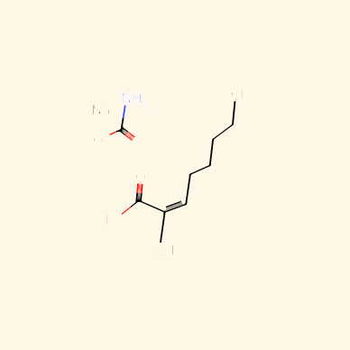 CCCCCC=C(C)C(=O)O.NC(=O)[O-].[Na+]